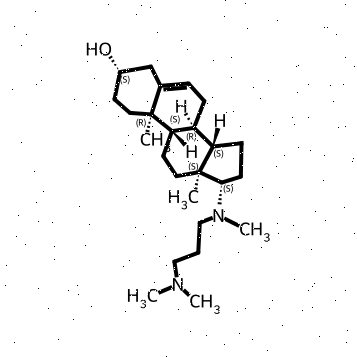 CN(C)CCCN(C)[C@H]1CC[C@H]2[C@@H]3CC=C4C[C@@H](O)CC[C@]4(C)[C@H]3CC[C@]12C